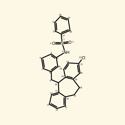 O=S(=O)(Nc1cccc(CC2c3ccccc3CCc3cc(Cl)ccc32)c1)c1ccccc1